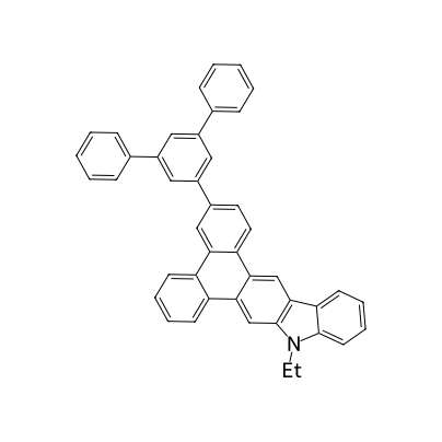 CCn1c2ccccc2c2cc3c4ccc(-c5cc(-c6ccccc6)cc(-c6ccccc6)c5)cc4c4ccccc4c3cc21